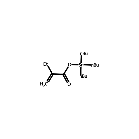 C=C(CC)C(=O)[O][Sn]([CH2]CCC)([CH2]CCC)[CH2]CCC